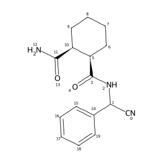 N#CC(NC(=O)[C@@H]1CCCC[C@@H]1C(N)=O)c1ccccc1